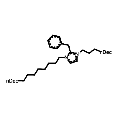 CCCCCCCCCCCCCCCCCCn1cc[n+](CCCCCCCCCCCCC)c1Cc1ccccc1